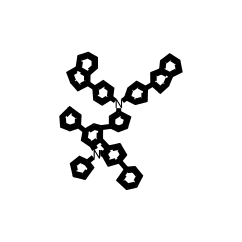 c1ccc(-c2ccc3c4c(-c5cccc(N(c6ccc(-c7ccc8ccccc8c7)cc6)c6ccc(-c7cccc8ccccc78)cc6)c5)cc(-c5ccccc5)cc4n(-c4ccccc4)c3c2)cc1